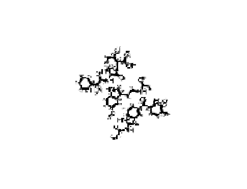 COC(=O)Nc1nc2cc(C(=O)c3ccc(F)cc3)ccc2[nH]1.COc1ccc2[nH]cc(CCNC(C)=O)c2c1.N[C@@H](C(=O)N[C@@H]1C(=O)N2C(C(=O)O)=C(Cl)CS[C@H]12)c1ccccc1.O